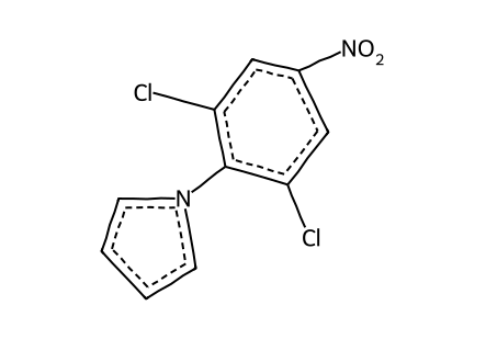 O=[N+]([O-])c1cc(Cl)c(-n2cccc2)c(Cl)c1